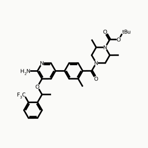 Cc1cc(-c2cnc(N)c(OC(C)c3ccccc3C(F)(F)F)c2)ccc1C(=O)N1CC(C)N(C(=O)OC(C)(C)C)C(C)C1